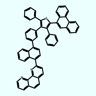 c1ccc(-c2sc(-c3cc4ccccc4c4ccccc34)c(-c3ccccc3)c2-c2cccc(-c3ccc(-c4ccc5ccc6cccnc6c5n4)c4ccccc34)c2)cc1